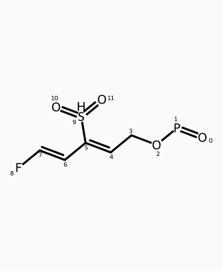 O=POCC=C(C=CF)[SH](=O)=O